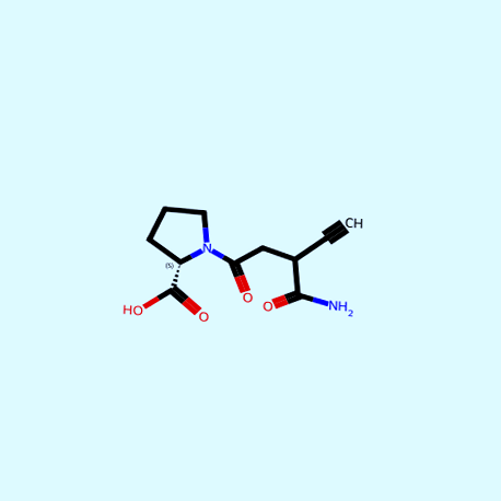 C#CC(CC(=O)N1CCC[C@H]1C(=O)O)C(N)=O